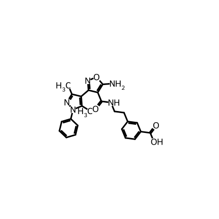 Cc1nn(-c2ccccc2)c(C)c1-c1noc(N)c1C(=O)NCCc1cccc(C(=O)O)c1